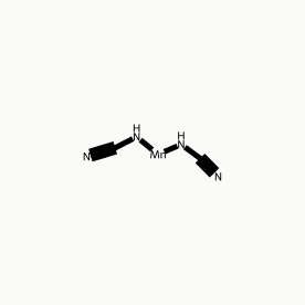 N#C[NH][Mn][NH]C#N